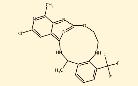 Cc1nc(Cl)cc2c3nc(nc12)OCCNc1c(cccc1C(F)(F)F)C(C)N3